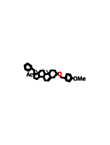 COc1ccc(CO[C@H]2CC[C@@]3(C)C(=CCC4C3CC[C@@]3(C)C4CC[C@]3(Cc3ccccc3)C(C)=O)C2)cc1